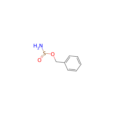 NS(=O)OCc1ccccc1